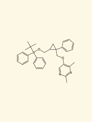 Cc1ncc(OCC2(c3ccccc3)CC2CO[Si](c2ccccc2)(c2ccccc2)C(C)(C)C)c(C)n1